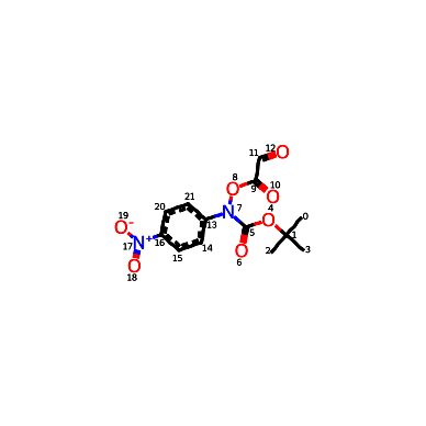 CC(C)(C)OC(=O)N(OC(=O)C=O)c1ccc([N+](=O)[O-])cc1